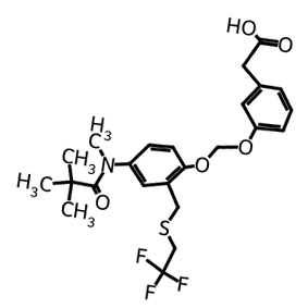 CN(C(=O)C(C)(C)C)c1ccc(OCOc2cccc(CC(=O)O)c2)c(CSCC(F)(F)F)c1